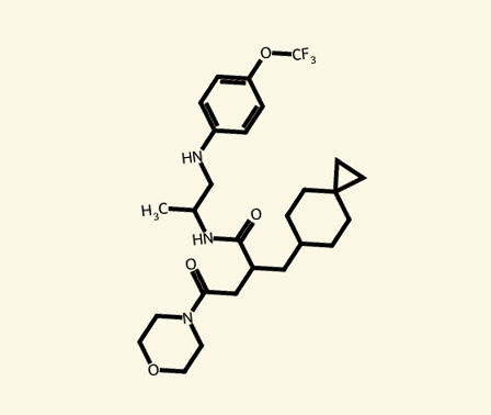 CC(CNc1ccc(OC(F)(F)F)cc1)NC(=O)C(CC(=O)N1CCOCC1)CC1CCC2(CC1)CC2